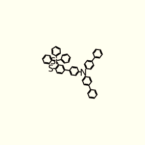 c1ccc(-c2ccc(N(c3ccc(-c4ccccc4)cc3)c3ccc(-c4ccc5c(c4)[Si](c4ccccc4)(c4ccccc4)c4ccccc4S5)cc3)cc2)cc1